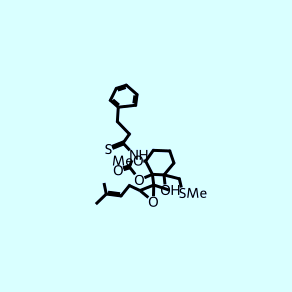 COC1CCCC(O)(CSC)C1(OC(=O)NC(=S)CCc1ccccc1)C1(C)OC1CC=C(C)C